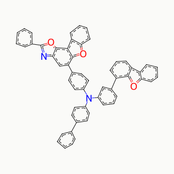 c1ccc(-c2ccc(N(c3ccc(-c4cc5nc(-c6ccccc6)oc5c5c4oc4ccccc45)cc3)c3cccc(-c4cccc5c4oc4ccccc45)c3)cc2)cc1